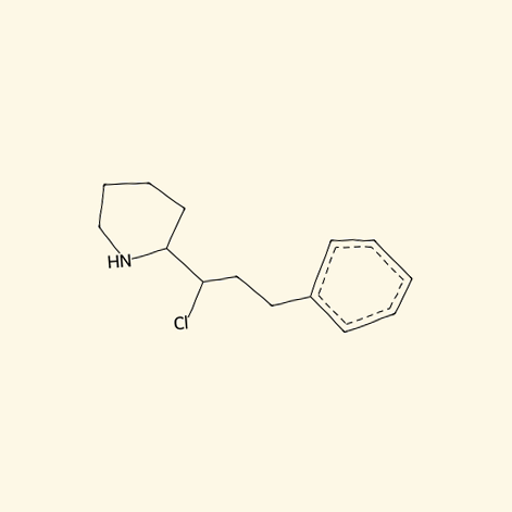 ClC(CCc1ccccc1)C1CCCCN1